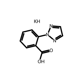 O=C(O)c1ccccc1-n1nccn1.[KH]